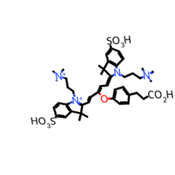 CC1(C)C(/C=C/C(=C/C=C2/N(CCC[N+](C)(C)C)c3ccc(S(=O)(=O)O)cc3C2(C)C)Oc2ccc(CCC(=O)O)cc2)=[N+](CCC[N+](C)(C)C)c2ccc(S(=O)(=O)O)cc21